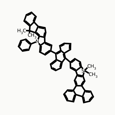 CC1(C)c2ccccc2-c2ccc3c4cc(-c5c6ccccc6c(-c6ccc7c(c6)-c6cc8c9ccccc9c9ccccc9c8cc6[Si]7(C)C)c6ccccc56)ccc4n(-c4ccccc4)c3c21